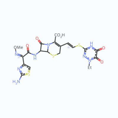 CCn1nc(S/C=C/C2=C(C(=O)O)N3C(=O)C(NC(=O)/C(=N\OC)c4csc(N)n4)C3SC2)[nH]c(=O)c1=O